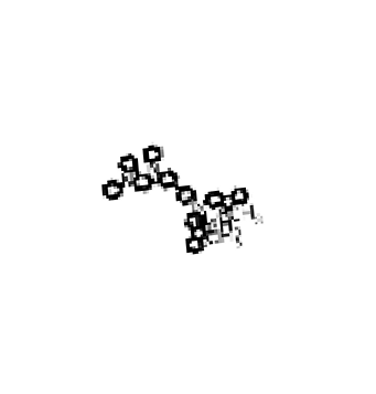 CC1(C)c2ccccc2-c2ccc(N(c3ccc(-c4ccc5c(c4)c4c(n5-c5ccccc5)C5c6ccccc6N(c6ccccc6)C5C=C4)cc3)c3ccc4c(c3)C(C)(C)c3ccccc3-4)cc21